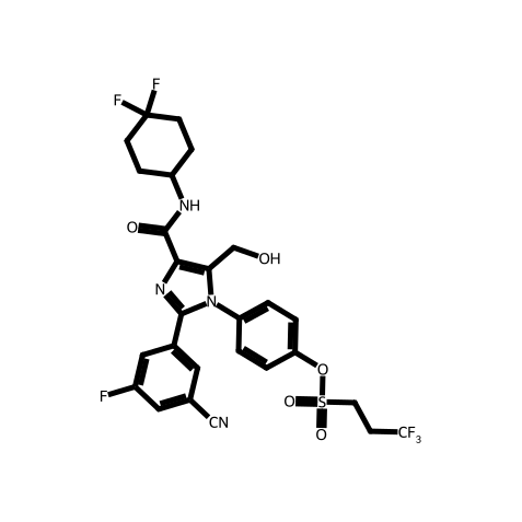 N#Cc1cc(F)cc(-c2nc(C(=O)NC3CCC(F)(F)CC3)c(CO)n2-c2ccc(OS(=O)(=O)CCC(F)(F)F)cc2)c1